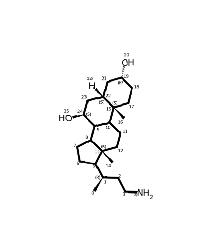 C[C@H](CCN)C1CCC2C3C(CC[C@@]21C)[C@@]1(C)CC[C@@H](O)C[C@H]1C[C@@H]3O